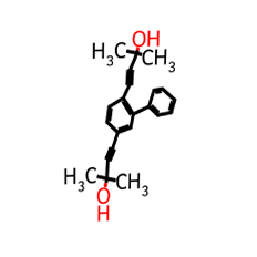 CC(C)(O)C#Cc1ccc(C#CC(C)(C)O)c(-c2ccccc2)c1